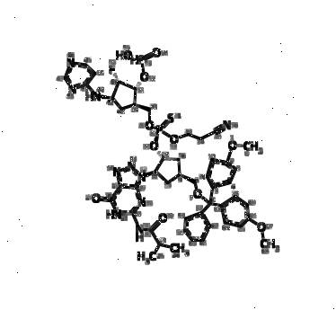 COc1ccc(C(OC[C@H]2C[C@@H](n3nnc4c(=O)[nH]c(NC(=O)C(C)C)nc43)[C@H](O[P@@](=S)(OCCC#N)OC[C@H]3C[C@@H](Nc4ccncn4)[C@H](F)[C@@H]3O[PH](=O)O)C2)(c2ccccc2)c2ccc(OC)cc2)cc1